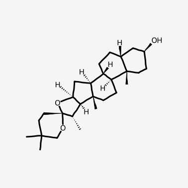 C[C@H]1[C@H]2[C@H](C[C@H]3[C@@H]4CC[C@@H]5C[C@@H](O)CC[C@]5(C)[C@H]4CC[C@]23C)O[C@]12CCC(C)(C)CO2